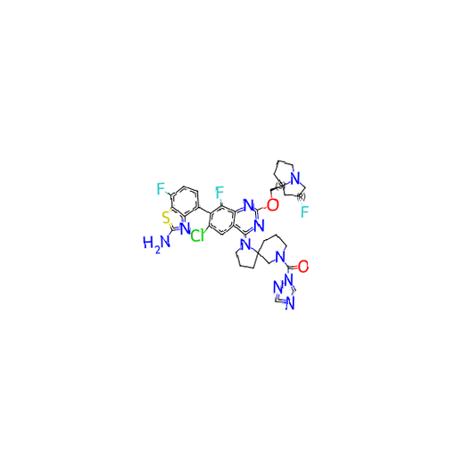 Nc1nc2c(-c3c(Cl)cc4c(N5CCCC56CCCN(C(=O)n5cncn5)C6)nc(OC[C@@]56CCCN5C[C@H](F)C6)nc4c3F)ccc(F)c2s1